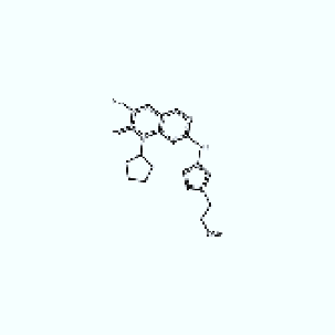 COCCn1cc(Nc2ncc3cc(C#N)c(=O)n(C4CCCC4)c3n2)cn1